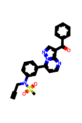 C#CCN(c1cccc(-c2ccnc3c(C(=O)c4ccccc4)cnn23)c1)S(C)(=O)=O